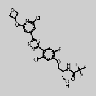 O=C(N[C@H](CO)COc1cc(Cl)c(-c2nnc(-c3cc(Cl)nc(OC4COC4)c3)s2)cc1F)C(F)(F)F